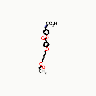 C=CC(=O)OCCCCCCOc1ccc(C(=O)Oc2ccc(/C=C/C(=O)O)cc2)cc1